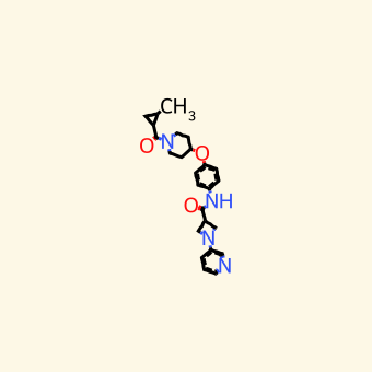 CC1CC1C(=O)N1CCC(Oc2ccc(NC(=O)C3CN(c4cccnc4)C3)cc2)CC1